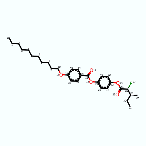 CCCCCCCCCCCOc1ccc(C(=O)Oc2ccc(OC(=O)[C@@H](F)[C@@H](C)CC)cc2)cc1